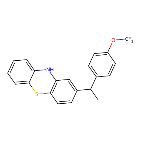 CC(c1ccc(OC(F)(F)F)cc1)c1ccc2c(c1)Nc1ccccc1S2